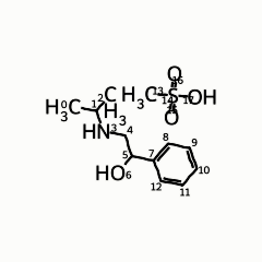 CC(C)NCC(O)c1ccccc1.CS(=O)(=O)O